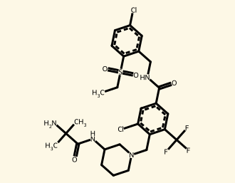 CCS(=O)(=O)c1ccc(Cl)cc1CNC(=O)c1cc(Cl)c(CN2CCCC(NC(=O)C(C)(C)N)C2)c(C(F)(F)F)c1